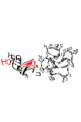 CC(C)(O)C(C)(C)OBc1ccc([Si](c2ccccc2)(c2ccccc2)c2ccccc2)cc1